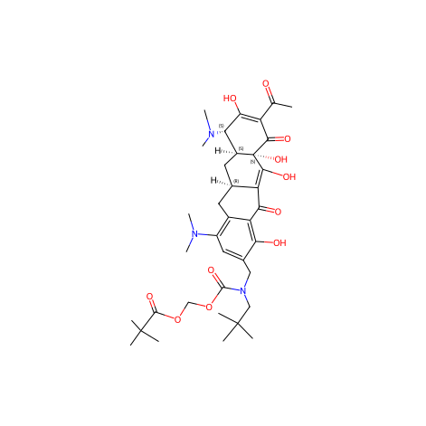 CC(=O)C1=C(O)[C@@H](N(C)C)[C@@H]2C[C@@H]3Cc4c(N(C)C)cc(CN(CC(C)(C)C)C(=O)OCOC(=O)C(C)(C)C)c(O)c4C(=O)C3=C(O)[C@]2(O)C1=O